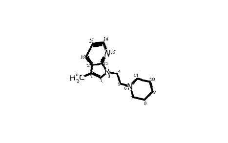 Cc1cn(CCN2CCCCC2)c2ncccc12